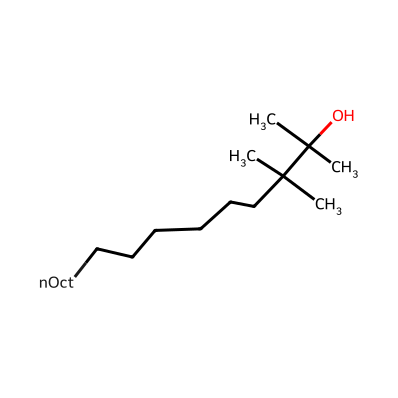 CCCCCCCCCCCCCCC(C)(C)C(C)(C)O